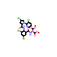 COC(=O)N(NC(=O)c1cc(Br)cc(Br)c1NC(=O)c1cc(Br)cn1-c1ncccc1Cl)C(=O)OC